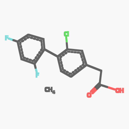 C.O=C(O)Cc1ccc(-c2ccc(F)cc2F)c(Cl)c1